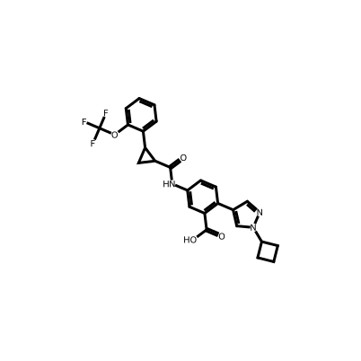 O=C(O)c1cc(NC(=O)C2CC2c2ccccc2OC(F)(F)F)ccc1-c1cnn(C2CCC2)c1